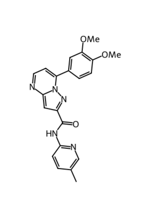 COc1ccc(-c2ccnc3cc(C(=O)Nc4ccc(C)cn4)nn23)cc1OC